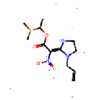 C=CCN1CCNC1=C(C(=O)OC(C)[S+](C)C)[N+](=O)[O-].[I-]